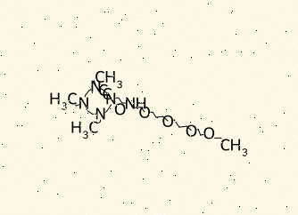 CCCOCCOCCCOCCCOCCNC(=O)CN1CCN(CC)CCN(CC)CCN(CC)CC1